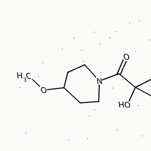 COC1CCN(C(=O)C2(O)CC2)CC1